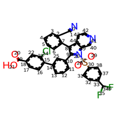 N#Cc1ccccc1-c1c(-c2cccc(-c3ccc(C(=O)O)cc3Cl)c2)n(S(=O)(=O)c2ccc(C(F)F)cc2)c2cnccc12